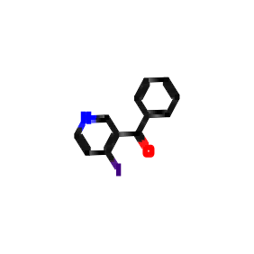 O=C(c1ccccc1)c1cnccc1I